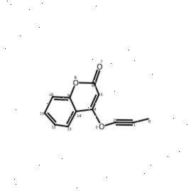 CC#COc1cc(=O)oc2ccccc12